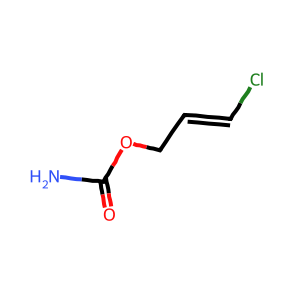 NC(=O)OCC=CCl